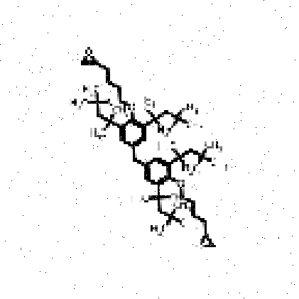 CC(C)(C)CC(C)(C)c1cc(Cc2cc(C(C)(C)CC(C)(C)C)c(OCCCCC3CO3)c(C(C)(C)CC(C)(C)C)c2)cc(C(C)(C)CC(C)(C)C)c1OCCCCC1CO1